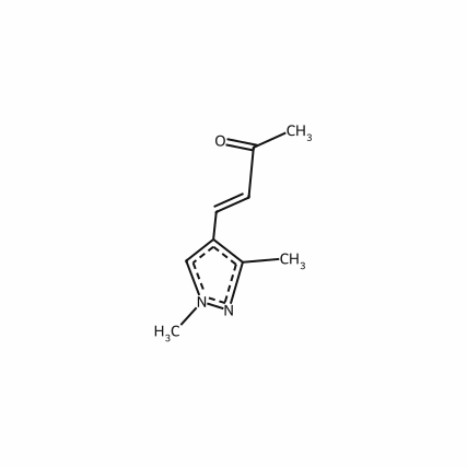 CC(=O)C=Cc1cn(C)nc1C